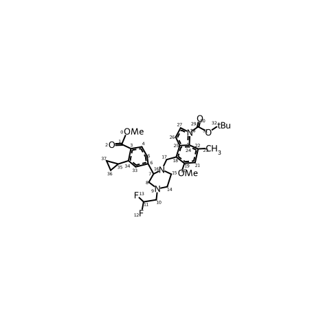 COC(=O)c1ccc(C2CN(CC(F)F)CCN2Cc2c(OC)cc(C)c3c2ccn3C(=O)OC(C)(C)C)cc1C1CC1